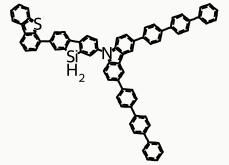 c1ccc(-c2ccc(-c3ccc(-c4ccc5c(c4)c4cc(-c6ccc(-c7ccc(-c8ccccc8)cc7)cc6)ccc4n5-c4ccc5c(c4)[SiH2]c4cc(-c6cccc7c6sc6ccccc67)ccc4-5)cc3)cc2)cc1